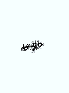 Cc1cc(C)c(-n2c(C)c(C)c3c(NC4CCOC4)nc(C)nc32)c(C)c1